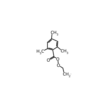 [CH2]COOC(=O)c1c(C)cc(C)cc1C